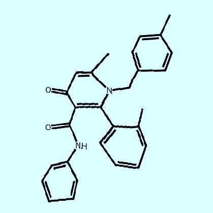 Cc1ccc(Cn2c(C)cc(=O)c(C(=O)Nc3ccccc3)c2-c2ccccc2C)cc1